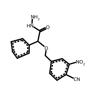 N#Cc1ccc(COC(C(=O)NN)c2ccccc2)cc1[N+](=O)[O-]